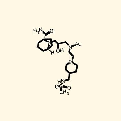 CC(=O)N(CCN1CCC(CNS(C)(=O)=O)CC1)CC(O)CN1[C@@H]2C[CH]C[C@@]1(C(N)=O)CC2